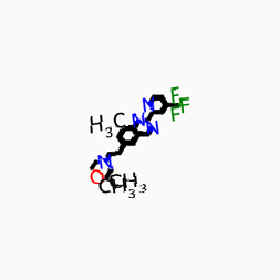 Cc1cc(CCN2CCOC(C)(C)C2)cc2cnc(-c3cc(C(F)(F)F)ccn3)nc12